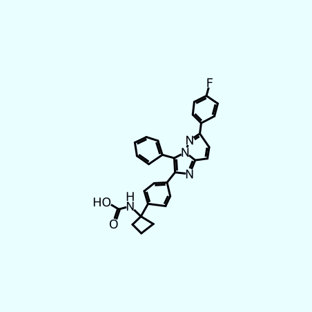 O=C(O)NC1(c2ccc(-c3nc4ccc(-c5ccc(F)cc5)nn4c3-c3ccccc3)cc2)CCC1